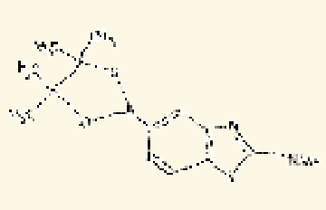 CNc1nc2cc(B3OC(C)(C)C(C)(C)O3)ccc2s1